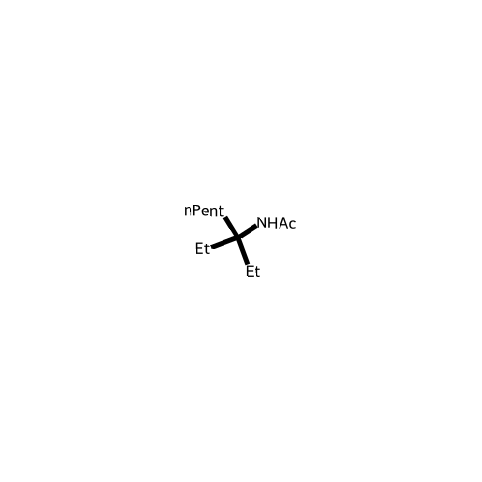 CCCCCC(CC)(CC)NC(C)=O